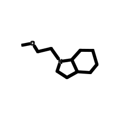 COCCN1CCC2CCCCC21